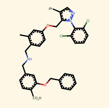 Cc1cc(OCc2c(C(C)C)cnn2-c2c(Cl)cccc2Cl)ccc1CNCc1ccc(C(=O)O)c(OCc2ccccc2)c1